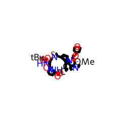 C=C/C(=C(\N=C/C)[C@H](C)OC)c1c2c3cc(ccc3n1CCOC1CCOCC1)C1CSC(=N1)C[C@H](NC(=O)OC(C)(C)C)C(=O)N1CCC[C@H](N1)C(=O)OCC(C)(C)C2